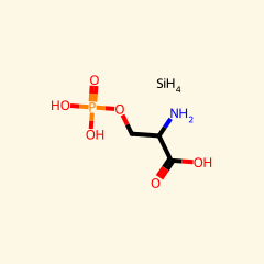 NC(COP(=O)(O)O)C(=O)O.[SiH4]